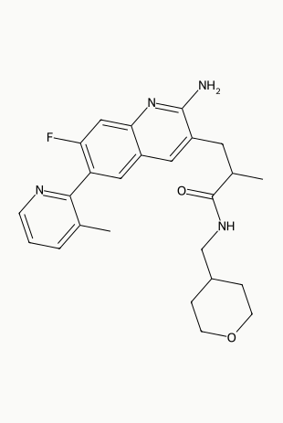 Cc1cccnc1-c1cc2cc(CC(C)C(=O)NCC3CCOCC3)c(N)nc2cc1F